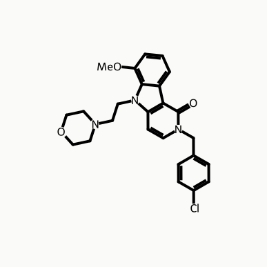 COc1cccc2c3c(=O)n(Cc4ccc(Cl)cc4)ccc3n(CCN3CCOCC3)c12